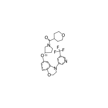 O=C(C1CCOCC1)N1CC[C@H](Oc2ccc3c(c2)N(c2cncc(C(F)(F)F)c2)CCO3)C1